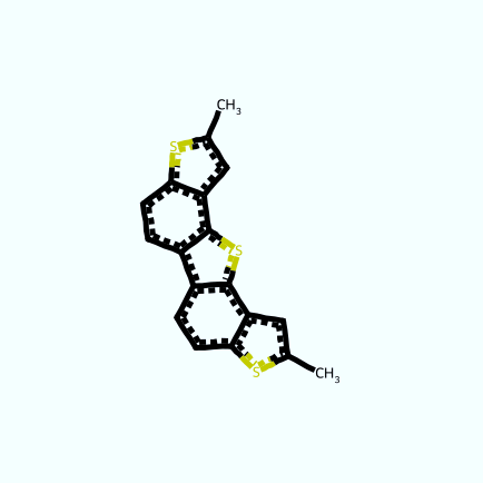 Cc1cc2c(ccc3c4ccc5sc(C)cc5c4sc23)s1